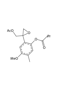 COc1cc(C2(COC(C)=O)CO2)c(OC(=O)C(C)C)cc1C